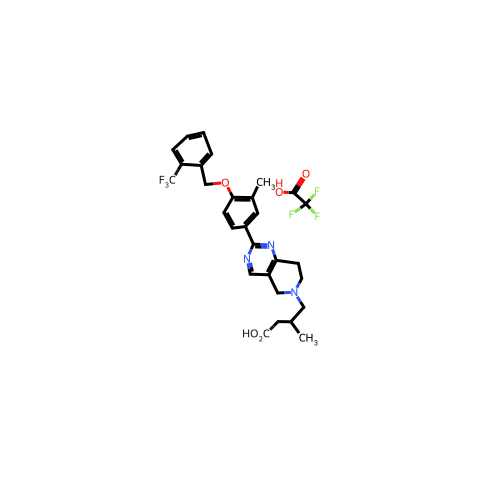 Cc1cc(-c2ncc3c(n2)CCN(CC(C)CC(=O)O)C3)ccc1OCc1ccccc1C(F)(F)F.O=C(O)C(F)(F)F